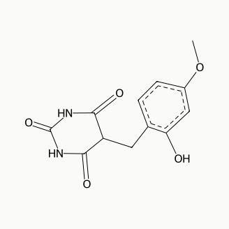 COc1ccc(CC2C(=O)NC(=O)NC2=O)c(O)c1